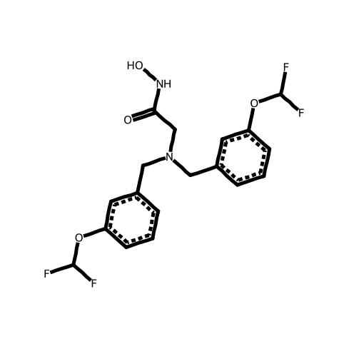 O=C(CN(Cc1cccc(OC(F)F)c1)Cc1cccc(OC(F)F)c1)NO